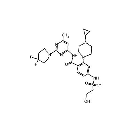 Cc1cc(NC(=O)c2ccc(NS(=O)(=O)CCO)cc2N2CCN(C3CC3)CC2)nc(N2CCC(F)(F)CC2)n1